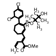 C/C=C\C(=C/C1=CC(BOC(C)(C)C(C)(C)O)=C(C2=CC=C(Cl)CC2Cl)CCC1)C(=O)OC